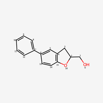 OCC1Cc2cc(-c3ccccc3)ccc2O1